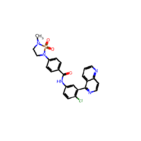 CN1CCN(c2ccc(C(=O)Nc3ccc(Cl)c(-c4nccc5ncccc45)c3)cc2)S1(=O)=O